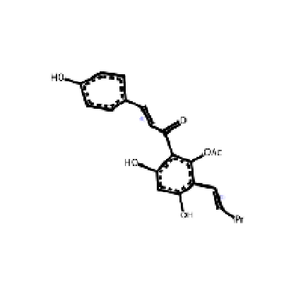 CC(=O)Oc1c(/C=C/C(C)C)c(O)cc(O)c1C(=O)/C=C/c1ccc(O)cc1